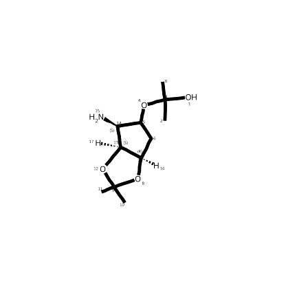 CC(C)(O)OC1C[C@H]2OC(C)(C)O[C@H]2[C@H]1N